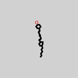 CCCCCCC1CCC(C=CC#CC=CC2CCC(OC)CC2)CC1